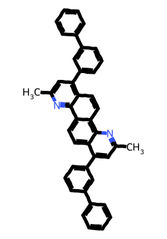 Cc1cc(-c2cccc(-c3ccccc3)c2)c2ccc3c(ccc4c(-c5cccc(-c6ccccc6)c5)cc(C)nc43)c2n1